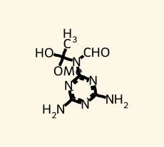 COC(C)(O)N(C=O)c1nc(N)nc(N)n1